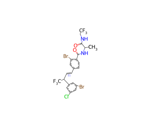 CC(NC(=O)c1ccc(/C=C/C(c2cc(Cl)cc(Br)c2)C(F)(F)F)cc1Br)C(=O)NCC(F)(F)F